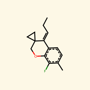 CC/C=C1/c2ccc(C)c(F)c2OCC12CC2